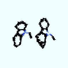 C=Cn1c2ccccc2c2cc3cc-3c21.C=Cn1c2ccccc2c2ccccc21